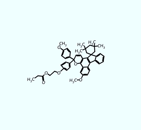 CCC(=O)OCCOc1ccc(C2(c3ccc(OC)cc3)C=Cc3c4c(c5ccc(OC)cc5c3O2)-c2ccccc2C42CC(C)(C)CC(C)(C)C2)cc1